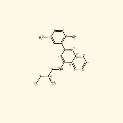 Cc1ccc(O)c(-c2nc(NC[C@@H](N)CC(C)C)c3ccccc3n2)c1